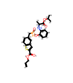 C=CCOC(=O)c1cc2cc(C[PH](=O)Oc3ccccc3NC(C)C(=O)OC(C)C)ccc2s1